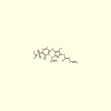 COCc1nn(CC(F)=CCN)c(C)c1Cc1ccc(S(=O)(=O)N(C)C)c(Cl)c1